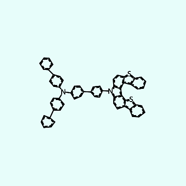 c1ccc(-c2ccc(N(c3ccc(-c4ccccc4)cc3)c3ccc(-c4ccc(-n5c6ccc7c8ccccc8sc7c6c6c7c(ccc65)sc5ccccc57)cc4)cc3)cc2)cc1